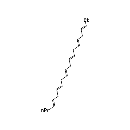 CCC=CCC=CCC=CCC=CCC=CCC=CCCC